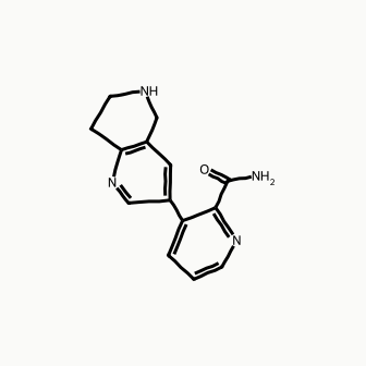 NC(=O)c1ncccc1-c1cnc2c(c1)CNCC2